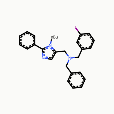 CCCCn1c(CN(Cc2ccccc2)Cc2cccc(I)c2)cnc1-c1ccccc1